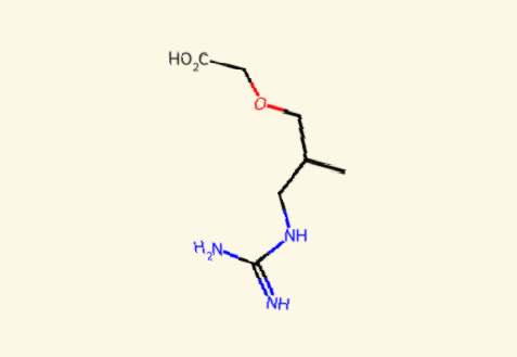 CC(CNC(=N)N)COCC(=O)O